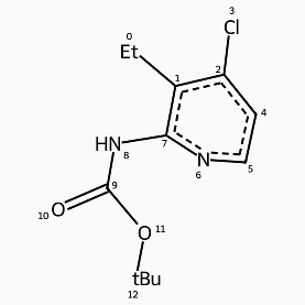 CCc1c(Cl)ccnc1NC(=O)OC(C)(C)C